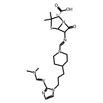 CN(C)C=Nc1nccn1CCCC1CCN(C=NC2C(=O)N3C2SC(C)(C)[C@@H]3C(=O)O)CC1